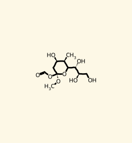 CO[C@]1(OC=O)C[C@@H](O)[C@@H](C)C([C@H](O)[C@H](O)CO)O1